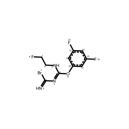 N=C(Br)/N=C(\NCCF)Oc1cc(F)cc(F)c1